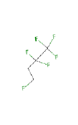 FCCC(F)(F)C(F)(F)F